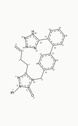 C=CCCc1nn(C(C)C)c(=O)n1Cc1ccc(-c2ccccc2-c2nnn[nH]2)cc1